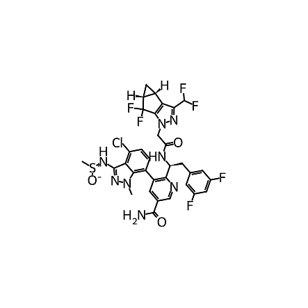 Cn1nc(N[S+](C)[O-])c2c(Cl)ccc(-c3cc(C(N)=O)cnc3[C@H](Cc3cc(F)cc(F)c3)NC(=O)Cn3nc(C(F)F)c4c3C(F)(F)[C@@H]3C[C@H]43)c21